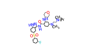 CC(C)N(C)CCN(C)c1ccc(C(=O)Nc2n[nH]c3ccc(S(=O)(=O)c4cccc(F)c4)cc23)c(NC2CCOCC2)c1